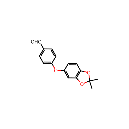 CC1(C)Oc2ccc(Oc3ccc(C=O)cc3)cc2O1